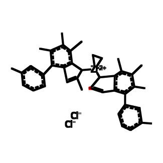 CC1=Cc2c(-c3cccc(C)c3)c(C)c(C)c(C)c2[CH]1[Zr+2]1([CH]2C(C)=Cc3c(-c4cccc(C)c4)c(C)c(C)c(C)c32)[CH2][CH2]1.[Cl-].[Cl-]